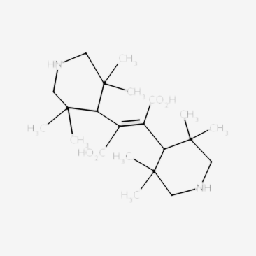 CC1(C)CNCC(C)(C)C1C(C(=O)O)=C(C(=O)O)C1C(C)(C)CNCC1(C)C